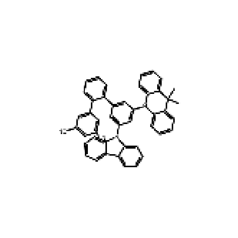 CC1(C)c2ccccc2N(c2cc(-c3ccccc3-c3cc(C#N)cc(C#N)c3)cc(-n3c4ccccc4c4ccccc43)c2)c2ccccc21